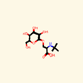 CC(C)(C)NC(COC1OC(CO)C(O)C(O)C1O)C(=O)O